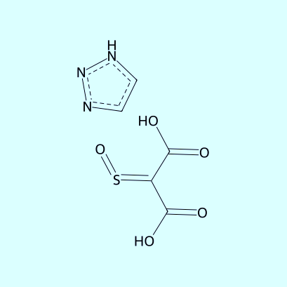 O=S=C(C(=O)O)C(=O)O.c1c[nH]nn1